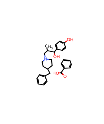 CC(CN1CCC(Cc2ccccc2)CC1)C(O)c1ccc(O)cc1.O=C(O)c1ccccc1